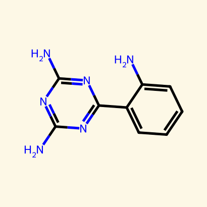 Nc1nc(N)nc(-c2ccccc2N)n1